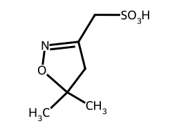 CC1(C)CC(CS(=O)(=O)O)=NO1